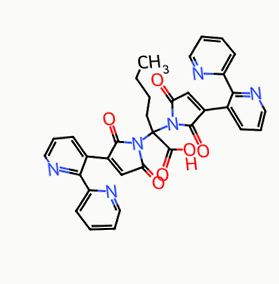 CCCCC(C(=O)O)(N1C(=O)C=C(c2cccnc2-c2ccccn2)C1=O)N1C(=O)C=C(c2cccnc2-c2ccccn2)C1=O